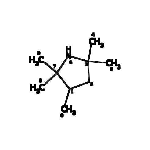 CC1CC(C)(C)NC1(C)C